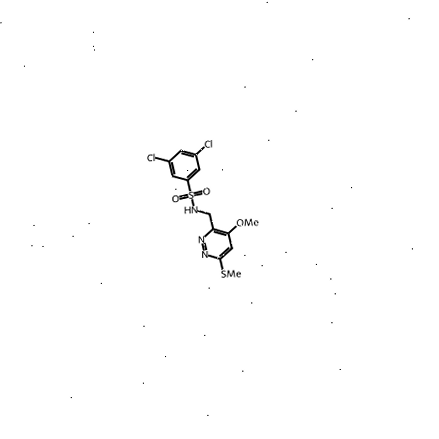 COc1cc(SC)nnc1CNS(=O)(=O)c1cc(Cl)cc(Cl)c1